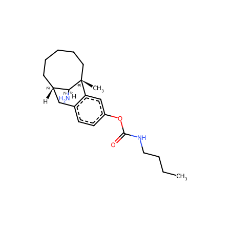 CCCCNC(=O)Oc1ccc2c(c1)[C@@]1(C)CCCCC[C@@H](C2)[C@@H]1N